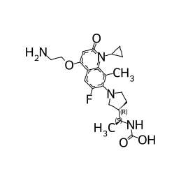 Cc1c(N2CC[C@@H]([C@H](C)NC(=O)O)C2)c(F)cc2c(OCCN)cc(=O)n(C3CC3)c12